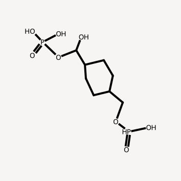 O=[PH](O)OCC1CCC(C(O)OP(=O)(O)O)CC1